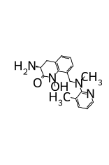 Cc1cccnc1N(C)Cc1cccc2c1N(O)C(=O)[C@@H](N)C2